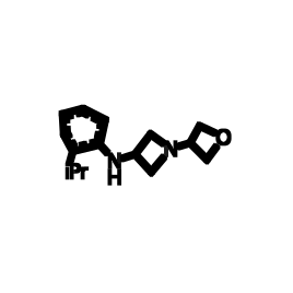 CC(C)c1ccccc1NC1CN(C2COC2)C1